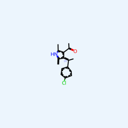 C=c1[nH]c(C)c(C(C)=O)/c1=C(\C)c1ccc(Cl)cc1